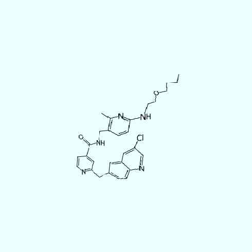 CCCCOCCNc1ccc(CNC(=O)c2ccnc(Cc3ccc4ncc(Cl)cc4c3)c2)c(C)n1